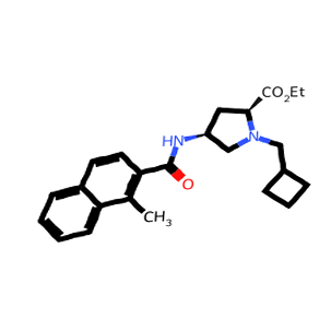 CCOC(=O)[C@@H]1C[C@H](NC(=O)c2ccc3ccccc3c2C)CN1CC1CCC1